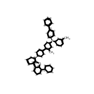 CC1CCCC(N(C2CCC(C3CCC([C@@H]4CCCC5=C4OC4C5CCCC4C4CCCCC4)CC3)C(C)C2)[C@@H]2C=CC(C3=CC=CCC3)CC2)C1